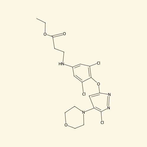 CCOC(=O)CCNc1cc(Cl)c(Oc2cc(N3CCOCC3)c(Cl)nn2)c(Cl)c1